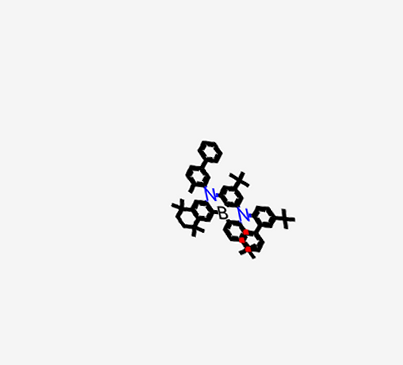 Cc1ccc(-c2ccccc2)cc1N1c2cc3c(cc2B2c4ccc(C(C)(C)C)cc4N(c4ccc(C(C)(C)C)cc4-c4ccccc4)c4cc(C(C)(C)C)cc1c42)C(C)(C)CCC3(C)C